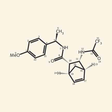 COc1ccc([C@@H](C)NC(=O)[C@@H]2[C@H](NC(=O)C(F)(F)F)[C@H]3C=C[C@@H]2C3)cc1